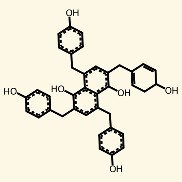 Oc1ccc(Cc2cc(Cc3ccc(O)cc3)c3c(O)c(CC4=CCC(O)C=C4)cc(Cc4ccc(O)cc4)c3c2O)cc1